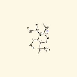 BC1(C)CCCC2C1CC/C(=N/C)N2C(C)CC